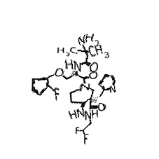 CC(C)(N)C(=O)N[C@H](COc1ccccc1F)C(=O)N1CCC(=N)[C@](Cc2ccccn2)(C(=O)NCC(F)F)C1